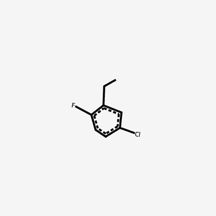 CCc1cc(Cl)ccc1F